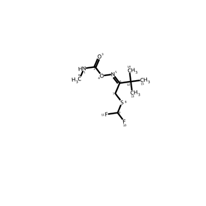 CNC(=O)ON=C(CSC(F)F)C(C)(C)C